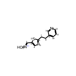 O/N=C/c1cnc(CCc2cccnc2)s1